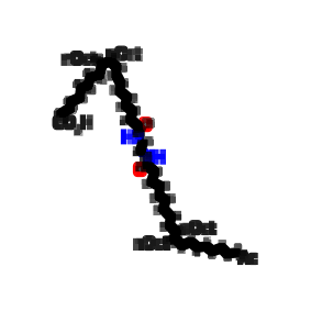 CCCCCCCCC(CCCCCCCCC(C)=O)C(CCCCCCCC)CCCCCCCCC(=O)NCCNC(=O)CCCCCCCCC(CCCCCCCC)C(CCCCCCCC)CCCCCCCCC(=O)O